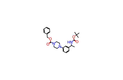 CC(NC(=O)OC(C)(C)C)c1cccc(N2CCN(C(=O)OCc3ccccc3)CC2)c1